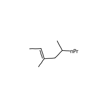 [CH2]CCC(C)CC(C)=CC